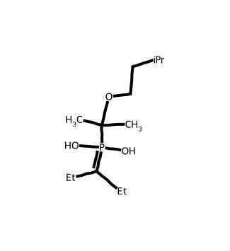 CCC(CC)=P(O)(O)C(C)(C)OCCC(C)C